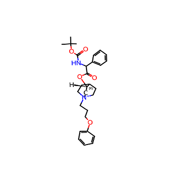 CC(C)(C)OC(=O)NC(C(=O)O[C@H]1C[N+]2(CCCOc3ccccc3)CCC1CC2)c1ccccc1